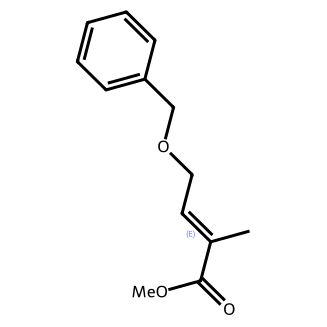 COC(=O)/C(C)=C/COCc1ccccc1